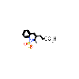 C[C@@H]1C(CCC(=O)O)=Cc2ccccc2N1[SH](=O)=O